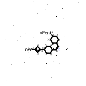 CCCCCC1CCC(/C=C\C2CCC(C34CC(CCC)(C3)C4)CC2)CC1